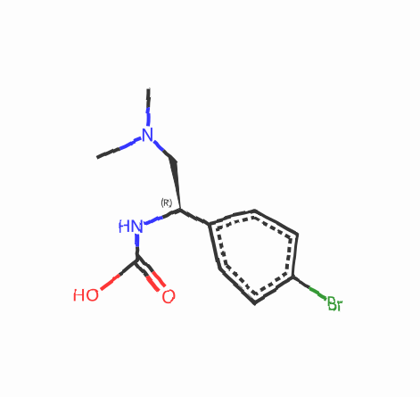 CN(C)C[C@H](NC(=O)O)c1ccc(Br)cc1